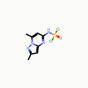 Cc1cc2nc(NP(=O)(Cl)Cl)cc(C)n2n1